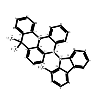 Cc1cccc2c3ccccc3n(B3c4ccccc4N4c5ccccc5C(C)(C)c5cccc3c54)c12